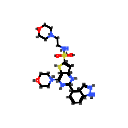 O=S(=O)(NCCN1CCOCC1)c1cc2nc(-c3cccc4[nH]ncc34)nc(N3CCOCC3)c2s1